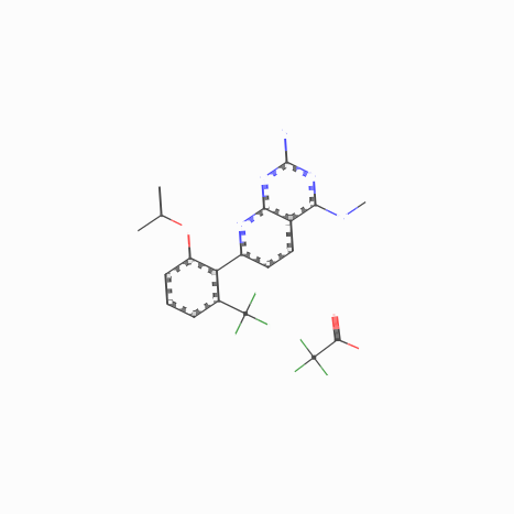 CNc1nc(N)nc2nc(-c3c(OC(C)C)cccc3C(F)(F)F)ccc12.O=C(O)C(F)(F)F